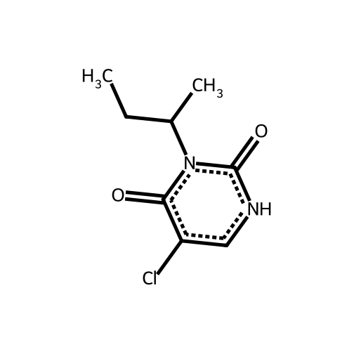 CCC(C)n1c(=O)[nH]cc(Cl)c1=O